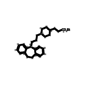 CCOC(=O)CCC1CCN(CCCN2c3ccccc3CCc3ccccc32)CC1